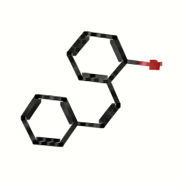 Brc1ccccc1/C=C\c1ccccc1